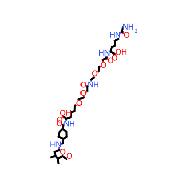 CC(CC=O)C(C)CC(=O)NCC1CCC(C(=O)NC(CCCCOCCOCC(=O)NCCOCCOCC(=O)NC(CCCCNC(=O)CN)C(=O)O)C(=O)O)CC1